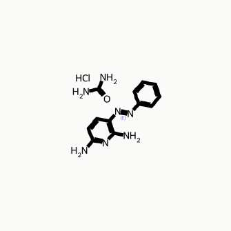 Cl.NC(N)=O.Nc1ccc(/N=N/c2ccccc2)c(N)n1